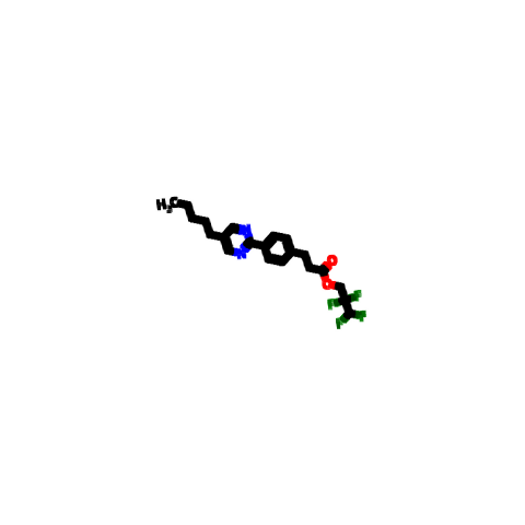 CCCCCc1cnc(-c2ccc(CCC(=O)OCC(F)(F)C(F)F)cc2)nc1